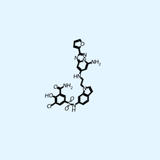 NC(=O)c1cc(S(=O)(=O)Nc2ccc3ccn(CCNc4cc(N)n5nc(-c6ccco6)nc5c4)c3c2)cc(Cl)c1O